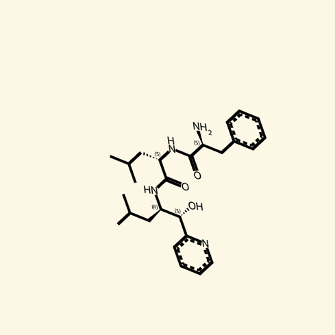 CC(C)C[C@H](NC(=O)[C@@H](N)Cc1ccccc1)C(=O)N[C@H](CC(C)C)[C@H](O)c1ccccn1